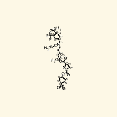 CC(C)(CCCCN(CCN)Cc1ccc(C(N)=O)c(C(F)(F)F)c1)OC(=O)c1ccn(C(=O)Oc2ccc([N+](=O)[O-])cc2)n1